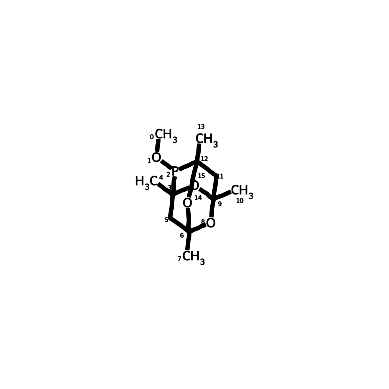 COP1C2(C)CC3(C)OC(C)(CC1(C)O3)O2